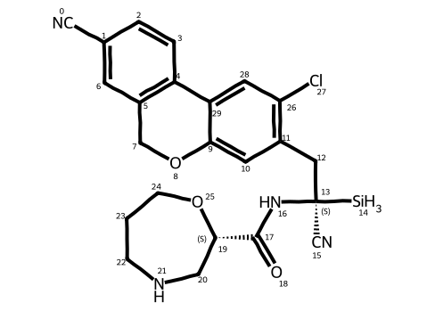 N#Cc1ccc2c(c1)COc1cc(C[C@]([SiH3])(C#N)NC(=O)[C@@H]3CNCCCO3)c(Cl)cc1-2